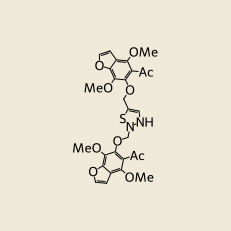 COc1c(C(C)=O)c(OCC2=CNN(COc3c(C(C)=O)c(OC)c4ccoc4c3OC)S2)c(OC)c2occc12